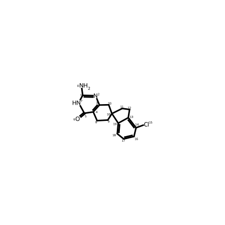 Nc1nc2c(c(=O)[nH]1)CCC1(CCc3c(Cl)cccc31)C2